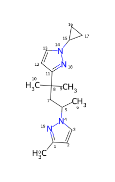 Cc1ccn(C(C)CC(C)(C)c2ccn(C3CC3)n2)n1